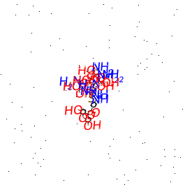 NCC1O[C@H](O[C@@H]2C(N)C[C@@H](N)C(O)C2OC2OC(CSCCNC(=S)Nc3ccc(C4CC5(OC4=O)c4ccc(O)cc4Oc4cc(O)ccc45)cc3)C(O[C@H]3OC(CN)[C@@H](O)C(CO)C3N)C2O)C(N)C(O)[C@@H]1O